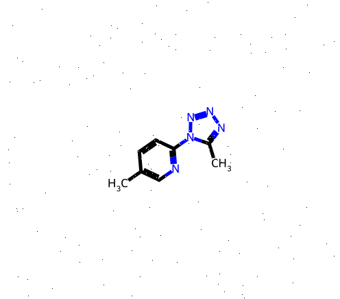 Cc1ccc(-n2nnnc2C)nc1